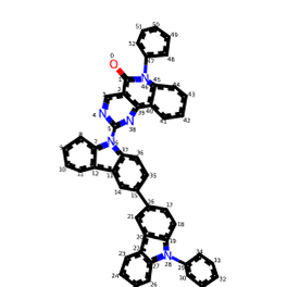 O=c1c2cnc(-n3c4ccccc4c4cc(-c5ccc6c(c5)c5ccccc5n6-c5ccccc5)ccc43)nc2c2ccccc2n1-c1ccccc1